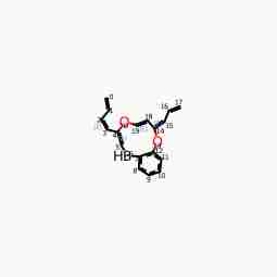 C=C/C=C\C1=C\Bc2ccccc2OC(=C/C=C)/C=C/O1